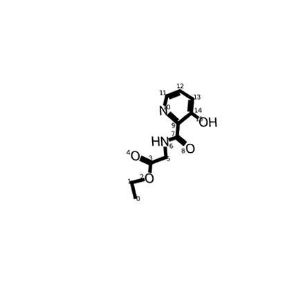 CCOC(=O)CNC(=O)c1ncccc1O